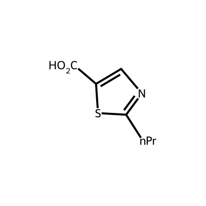 CCCc1ncc(C(=O)O)s1